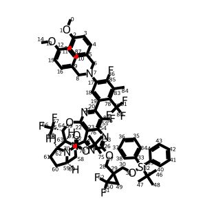 COc1ccc(CN(Cc2ccc(OC)cc2)c2cc(-c3nc4c5c(nc(OCC6(CO[Si](c7ccccc7)(c7ccccc7)C(C)(C)C)CC6(F)F)nc5c3F)N3C[C@H]5CC[C@@H]([C@H]3[C@H](C(F)(F)F)O4)N5C(=O)OC(C)(C)C)c(C(F)(F)F)c(C)c2F)cc1